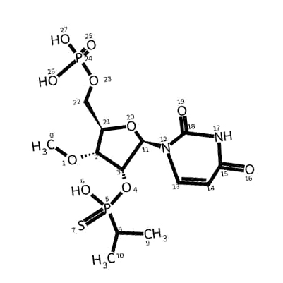 CO[C@H]1[C@@H](OP(O)(=S)C(C)C)[C@H](n2ccc(=O)[nH]c2=O)O[C@@H]1COP(=O)(O)O